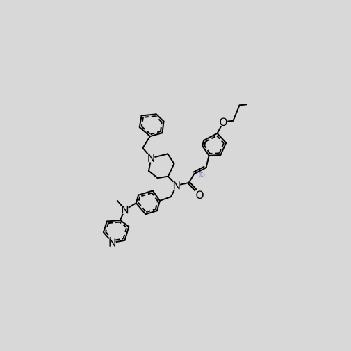 CCCOc1ccc(/C=C/C(=O)N(Cc2ccc(N(C)c3ccncc3)cc2)C2CCN(Cc3ccccc3)CC2)cc1